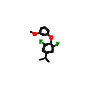 COc1cccc(Oc2c(F)cc(C(C)C)cc2F)c1